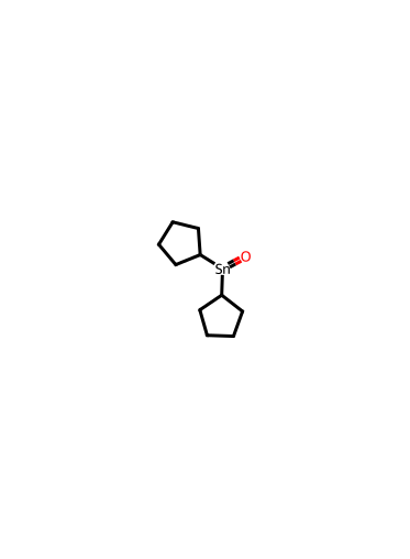 [O]=[Sn]([CH]1CCCC1)[CH]1CCCC1